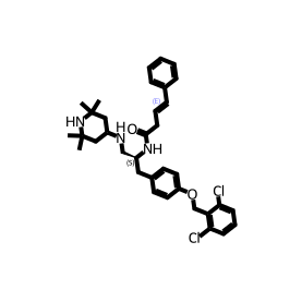 CC1(C)CC(NC[C@H](Cc2ccc(OCc3c(Cl)cccc3Cl)cc2)NC(=O)C/C=C/c2ccccc2)CC(C)(C)N1